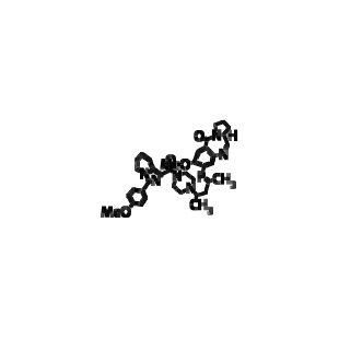 COc1ccc(-c2nc(C(=O)N3CCN(C(C)C/C(C)=P/c4cc5c(cc4OC)C(=O)N4CCC[C@H]4C=N5)CC3)c3ccccn23)cc1